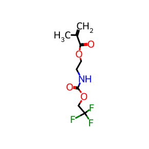 C=C(C)C(=O)OCCNC(=O)OCC(F)(F)F